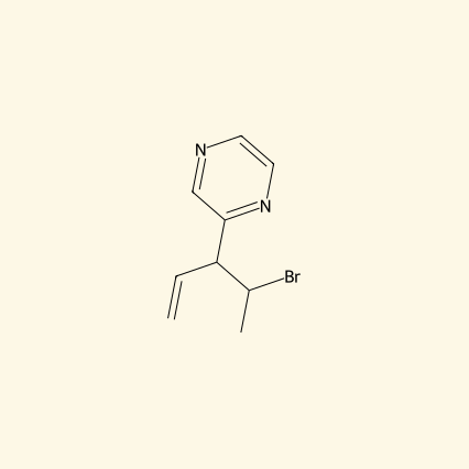 C=CC(c1cnccn1)C(C)Br